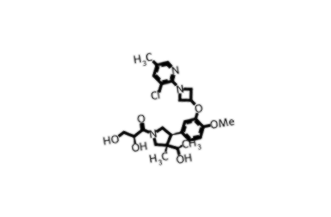 COc1ccc([C@@H]2CN(C(=O)[C@@H](O)CO)C[C@@]2(C)[C@@H](C)O)cc1OC1CN(c2ncc(C)cc2Cl)C1